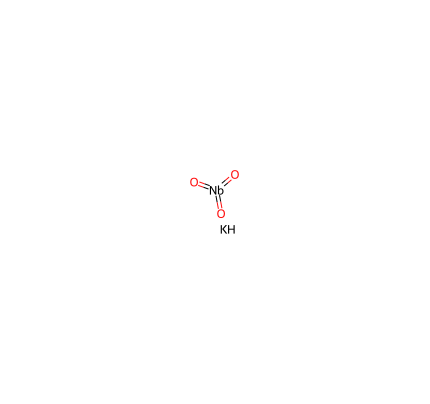 [KH].[O]=[Nb](=[O])=[O]